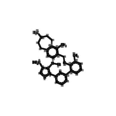 CCOc1c(C(=O)O)cnn1-c1cccc(-c2cccc(C)c2OCc2ccc3c(c2C)CCN(C)CC3)n1